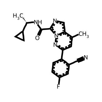 Cc1cc(-c2ccc(F)cc2C#N)nn2c(C(=O)N[C@@H](C)C3CC3)ncc12